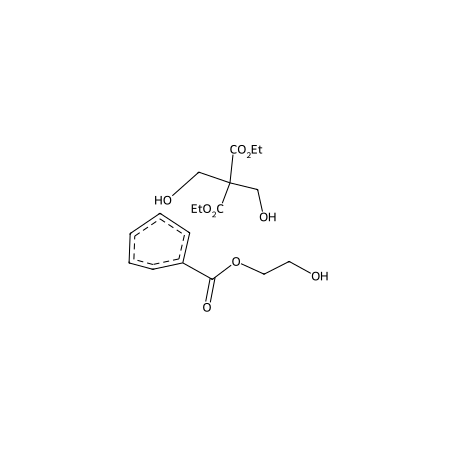 CCOC(=O)C(CO)(CO)C(=O)OCC.O=C(OCCO)c1ccccc1